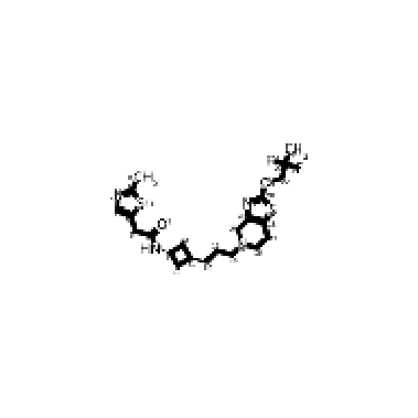 Cc1ncc(CC(=O)N[C@H]2C[C@H](CCCN3CCc4sc(OCC(C)(F)F)nc4C3)C2)s1